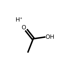 CC(=O)O.[H+]